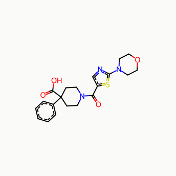 O=C(c1cnc(N2CCOCC2)s1)N1CCC(C(=O)O)(c2ccccc2)CC1